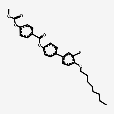 CCCCCCCCOc1ccc(-c2ccc(OC(=O)c3ccc(OC(=O)OC)cc3)cc2)cc1F